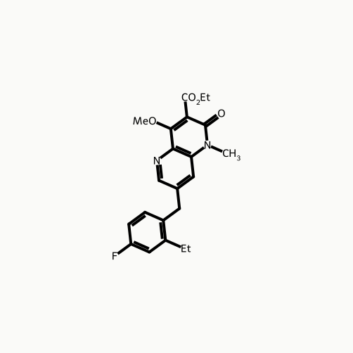 CCOC(=O)c1c(OC)c2ncc(Cc3ccc(F)cc3CC)cc2n(C)c1=O